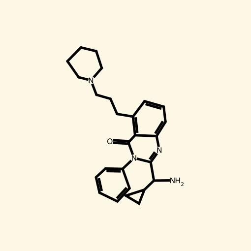 NC(c1nc2cccc(CCCN3CCCCC3)c2c(=O)n1-c1ccccc1)C1CC1